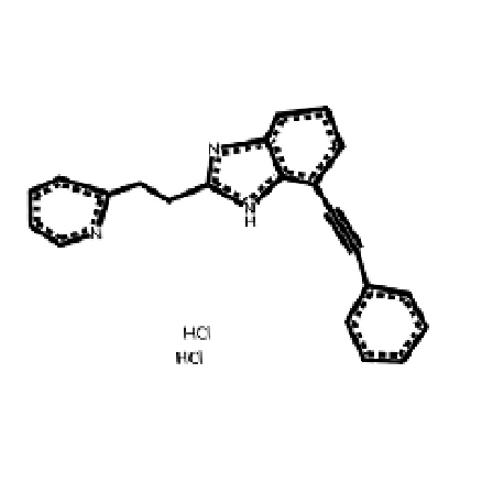 C(#Cc1cccc2nc(CCc3ccccn3)[nH]c12)c1ccccc1.Cl.Cl